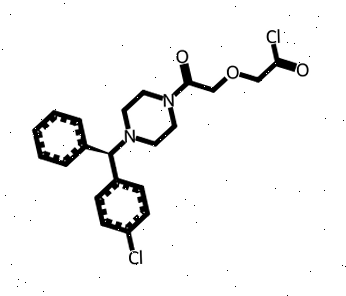 O=C(Cl)COCC(=O)N1CCN([C@H](c2ccccc2)c2ccc(Cl)cc2)CC1